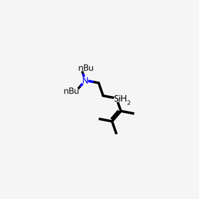 CCCCN(CCCC)CC[SiH2]C(C)=C(C)C